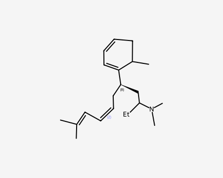 CCC(C[C@@H](C/C=C\C=C(C)C)C1=CC=CCC1C)N(C)C